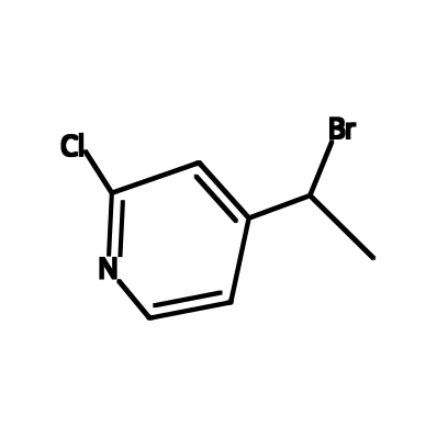 CC(Br)c1ccnc(Cl)c1